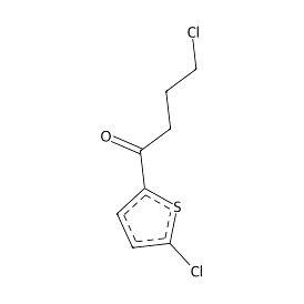 O=C(CCCCl)c1ccc(Cl)s1